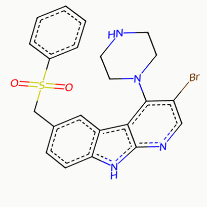 O=S(=O)(Cc1ccc2[nH]c3ncc(Br)c(N4CCNCC4)c3c2c1)c1ccccc1